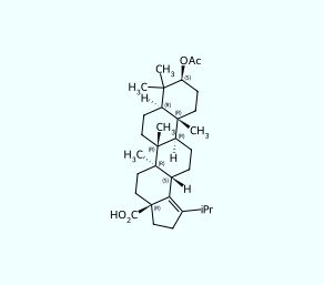 CC(=O)O[C@H]1CC[C@]2(C)[C@H]3CC[C@@H]4C5=C(C(C)C)CC[C@]5(C(=O)O)CC[C@@]4(C)[C@]3(C)CC[C@H]2C1(C)C